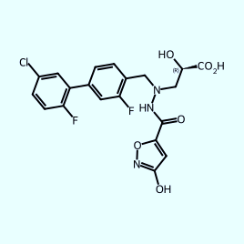 O=C(NN(Cc1ccc(-c2cc(Cl)ccc2F)cc1F)C[C@@H](O)C(=O)O)c1cc(O)no1